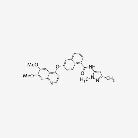 COc1cc2nccc(Oc3ccc4c(C(=O)Nc5cc(C)nn5C)cccc4c3)c2cc1OC